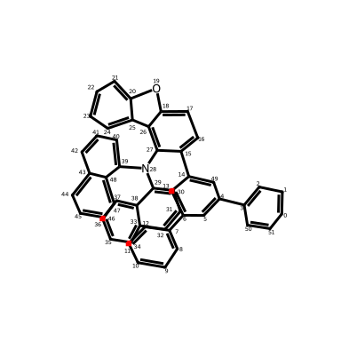 c1ccc(-c2cc(-c3ccccc3)cc(-c3ccc4oc5ccccc5c4c3N(c3cccc4ccccc34)c3cccc4ccccc34)c2)cc1